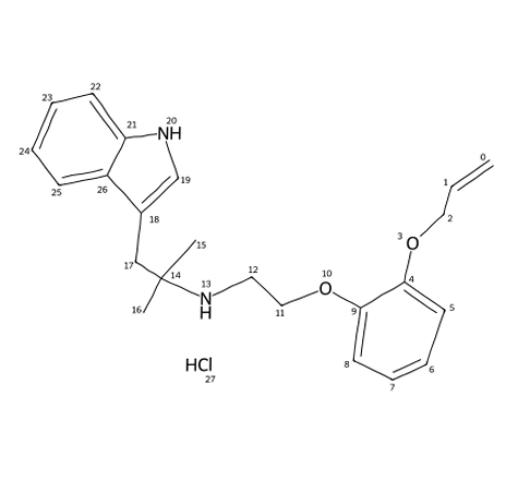 C=CCOc1ccccc1OCCNC(C)(C)Cc1c[nH]c2ccccc12.Cl